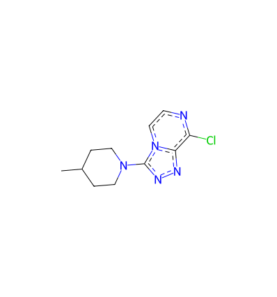 CC1CCN(c2nnc3c(Cl)nccn23)CC1